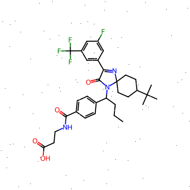 CCCC(c1ccc(C(=O)NCCC(=O)O)cc1)N1C(=O)C(c2cc(F)cc(C(F)(F)F)c2)=NC12CCC(C(C)(C)C)CC2